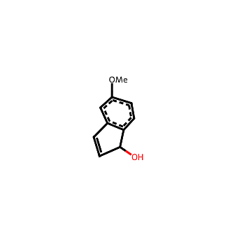 COc1ccc2c(c1)C=CC2O